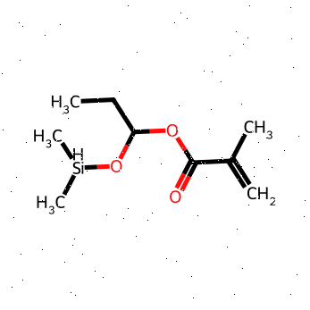 C=C(C)C(=O)OC(CC)O[SiH](C)C